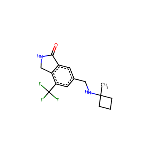 CC1(NCc2cc3c(c(C(F)(F)F)c2)CNC3=O)CCC1